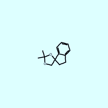 CC1(C)OCC2(CCc3ccccc32)O1